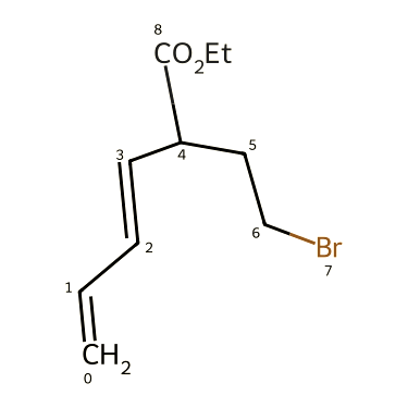 C=CC=CC(CCBr)C(=O)OCC